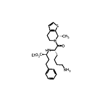 CCOC(=O)[C@H](CCc1ccccc1)N[C@@H](CCCCN)C(=O)N1CCc2ccsc2[C@@H]1C